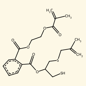 C=C(C)CSCC(CS)OC(=O)c1ccccc1C(=O)OCCOC(=O)C(=C)C